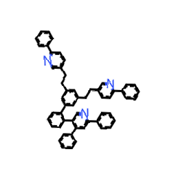 c1ccc(-c2ccc(CCc3cc(CCc4ccc(-c5ccccc5)nc4)cc(-c4ccccc4-c4cnc(-c5ccccc5)cc4-c4ccccc4)c3)cn2)cc1